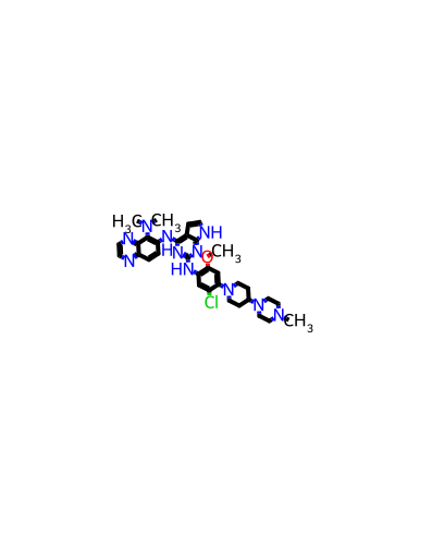 COc1cc(N2CCC(N3CCN(C)CC3)CC2)c(Cl)cc1Nc1nc(Nc2ccc3nccnc3c2N(C)C)c2cc[nH]c2n1